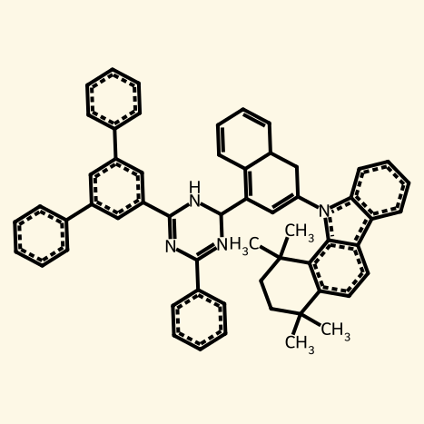 CC1(C)CCC(C)(C)c2c1ccc1c3ccccc3n(C3=CC(C4N=C(c5ccccc5)N=C(c5cc(-c6ccccc6)cc(-c6ccccc6)c5)N4)=C4C=CC=CC4C3)c21